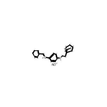 Cl.c1ccc(COc2ccc(OCCC3CC4CCN3CC4)cc2)cc1